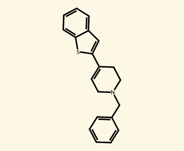 C1=C(c2cc3ccccc3s2)CCN(Cc2ccccc2)C1